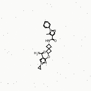 Cc1c(C(=O)N[C@H]2CC3(C2)C[C@H](Oc2nn(C4CC4)cc2C(N)=O)C3)cnn1-c1ccccc1